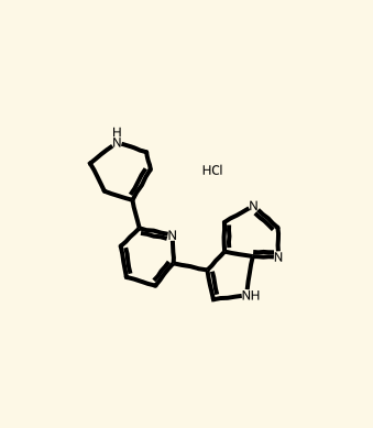 C1=C(c2cccc(-c3c[nH]c4ncncc34)n2)CCNC1.Cl